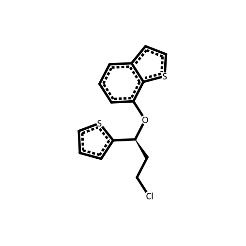 ClCC[C@H](Oc1cccc2ccsc12)c1cccs1